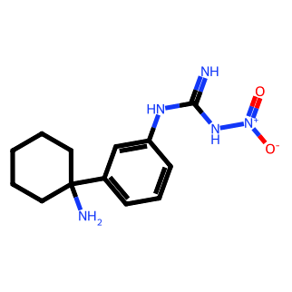 N=C(Nc1cccc(C2(N)CCCCC2)c1)N[N+](=O)[O-]